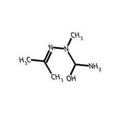 CC(C)=NN(C)C(N)O